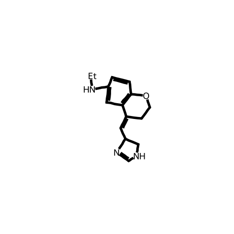 CCNc1ccc2c(c1)/C(=C/C1CNC=N1)CCO2